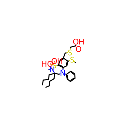 CCCCC1(CCCC)CN(c2ccccc2)c2cc(SC)c(CSCC(=O)O)cc2S(O)(O)N1C